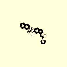 O=C(CC1=CCc2ccc(NS(=O)(=O)c3ccc4ccccc4c3)cc21)N1CCCC1